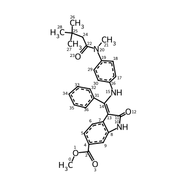 COC(=O)c1ccc2c(c1)NC(=O)/C2=C(\Nc1ccc(N(C)C(=O)CC(C)(C)C)cc1)c1ccccc1